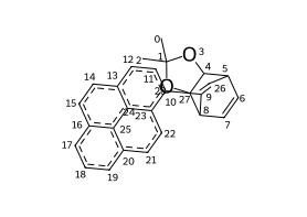 CC1(C)OC2C3C=CC(C(c4ccc5ccc6cccc7ccc4c5c67)=C3)C2O1